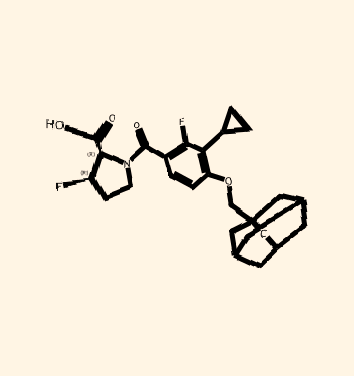 O=C(O)[C@@H]1[C@H](F)CCN1C(=O)c1ccc(OCC23CC4CC(CC(C4)C2)C3)c(C2CC2)c1F